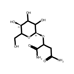 NC(=O)CC(O[C@H]1OC(CO)[C@@H](O)C(O)C1O)C(N)=O